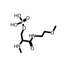 CNC(COP(=O)(O)O)C(=O)NCCOC